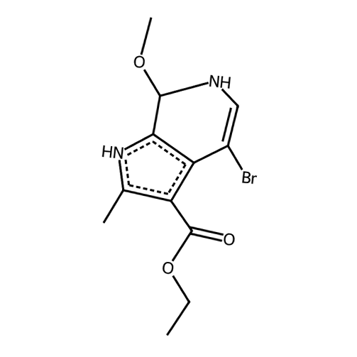 CCOC(=O)c1c(C)[nH]c2c1C(Br)=CNC2OC